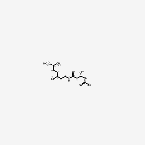 CCC(=O)O[C@@H](OC(=O)NCCC(CC)CC[C@H](C)C(=O)O)C(C)C